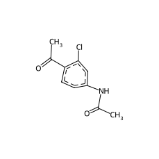 CC(=O)Nc1ccc(C(C)=O)c(Cl)c1